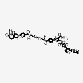 NC(=O)c1nn(-c2ccc(C(=O)NCCOCCOCCNC(=O)c3ccc(N4CCC5(CCCC(=O)NC5=O)CC4=O)nc3)cc2)cc1NC(=O)c1coc(-c2ccnc(NCC3CC3)c2)n1